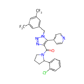 O=C(c1nnn(Cc2cc(C(F)(F)F)cc(C(F)(F)F)c2)c1-c1ccncc1)N1CCCC1c1ccccc1Cl